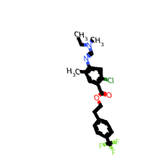 CCN(C)/C=N/c1cc(Cl)c(C(=O)OCCc2ccc(C(F)(F)F)cc2)cc1C